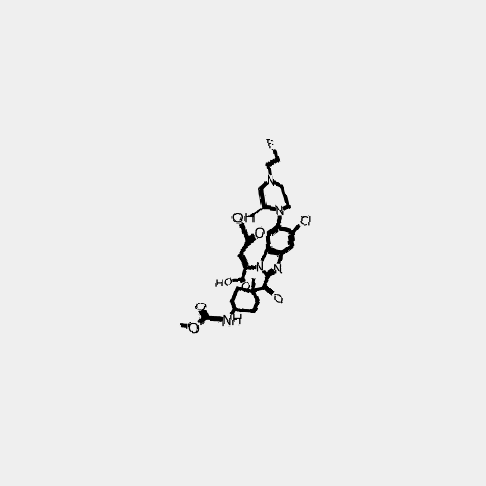 COC(=O)NC1CCC(C)(C(=O)c2nc3cc(Cl)c(N4CCN(CCF)C[C@@H]4C)cc3n2/C(=C\C(=O)O)C(=O)O)CC1